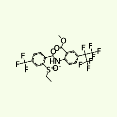 CC[S+]([O-])c1cc(C(F)(F)F)ccc1C(=O)Nc1ccc(C(F)(C(F)(F)F)C(F)(F)F)cc1C(=O)OC